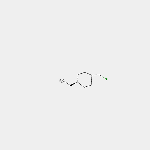 CC[C@H]1CC[C@H](CF)CC1